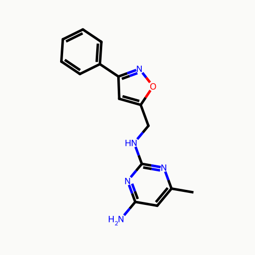 Cc1cc(N)nc(NCc2cc(-c3ccccc3)no2)n1